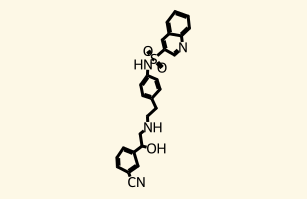 N#Cc1cccc(C(O)CNCCc2ccc(NS(=O)(=O)c3cnc4ccccc4c3)cc2)c1